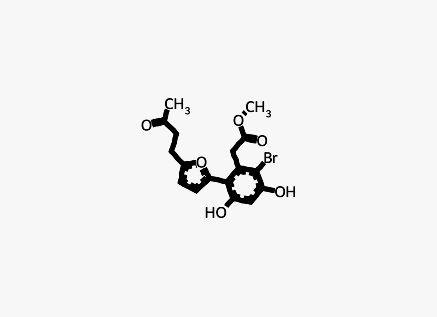 COC(=O)Cc1c(Br)c(O)cc(O)c1-c1ccc(CCC(C)=O)o1